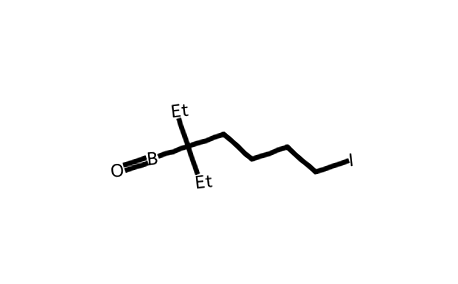 CCC(B=O)(CC)CCCCI